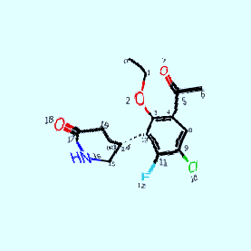 CCOc1c(C(C)=O)cc(Cl)c(F)c1[C@@H]1CNC(=O)C1